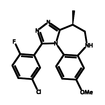 COc1ccc2c(c1)NC[C@H](C)c1nnc(-c3cc(Cl)ccc3F)n1-2